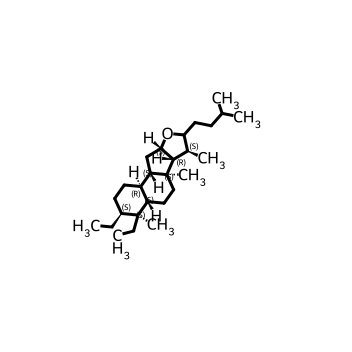 CC[C@H]1CC[C@@H]2[C@H](CC[C@]3(C)[C@@H]4[C@H](C[C@@H]23)OC(CCC(C)C)[C@H]4C)[C@@]1(C)CC